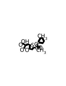 Cc1cccc(S(=O)(=O)N(C)c2cc3oc(=O)c(C(=O)O)cc3s2)c1